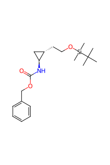 CC(C)(C)[Si](C)(C)OCC[C@H]1C[C@@H]1NC(=O)OCc1ccccc1